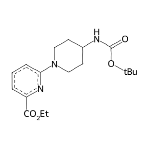 CCOC(=O)c1cccc(N2CCC(NC(=O)OC(C)(C)C)CC2)n1